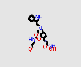 COCCCNC(=O)OCCN(CCc1c[nH]c2ccccc12)Cc1ccc(/C=C/C(=O)NO)cc1